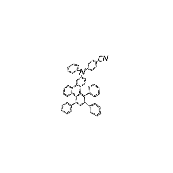 N#Cc1ccc(N(c2ccccc2)c2ccc3c(c2)c2ccccc2c2c(-c4ccccc4)cc(-c4ccccc4)c(-c4ccccc4)c32)cc1